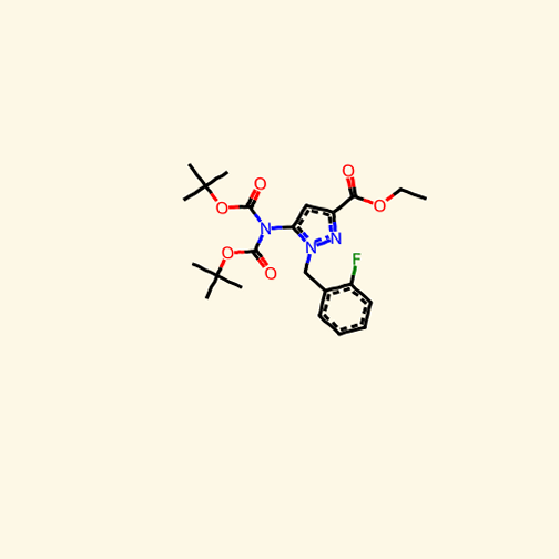 CCOC(=O)c1cc(N(C(=O)OC(C)(C)C)C(=O)OC(C)(C)C)n(Cc2ccccc2F)n1